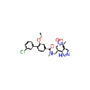 CCOc1cc(C(=O)N(C)Cc2c[n+](O)c(C)c3cn[nH]c23)ccc1-c1cccc(Cl)c1